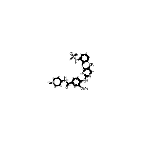 C=S(C)(=O)Nc1ccccc1Oc1nc(Nc2ccc(C(=O)NC3CCN(C)CC3)cc2OC)ncc1C(F)(F)F